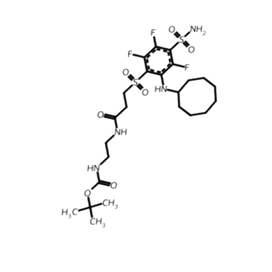 CC(C)(C)OC(=O)NCCNC(=O)CCS(=O)(=O)c1c(F)c(F)c(S(N)(=O)=O)c(F)c1NC1CCCCCCC1